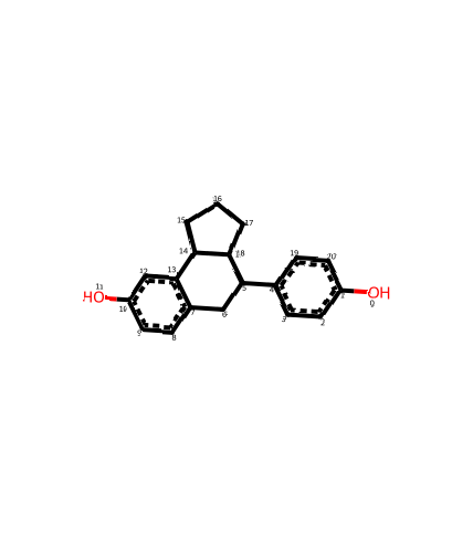 Oc1ccc(C2Cc3ccc(O)cc3C3CCCC23)cc1